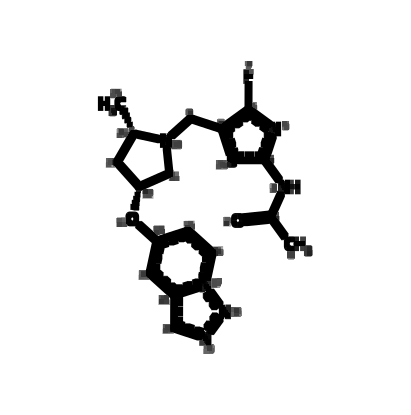 CC(=O)Nc1nc(F)c(CN2C[C@H](Oc3ccn4nncc4c3)C[C@@H]2C)s1